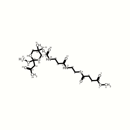 COC(=O)CCC(=O)SCCNC(=O)CCNC(=O)[C@@H]1OC(CC(C)=O)(OC)OCC1(C)C